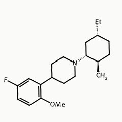 CC[C@@H]1CC[C@@H](C)[C@H](N2CCC(c3cc(F)ccc3OC)CC2)C1